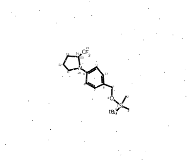 CC(C)(C)[Si](C)(C)OCc1ccc(N2CCC[C@H]2C(F)(F)F)cc1